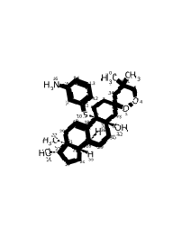 CC1(C)COOC2(CC[C@]3(Sc4cccc(N)c4)C4=CC[C@]5(C)[C@@H](O)CC[C@H]5[C@@H]4CC[C@@]3(O)C2)C1